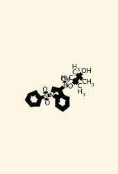 CC(C)(O)C(C)(C)OB(O)c1cn(S(=O)(=O)c2ccccc2)c2ccccc12